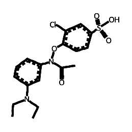 CCN(CC)c1cccc(N(Oc2ccc(S(=O)(=O)O)cc2Cl)C(C)=O)c1